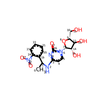 CC(Nc1ccn([C@@H]2O[C@H](CO)C(O)[C@@H]2O)c(=O)n1)c1ccccc1[N+](=O)[O-]